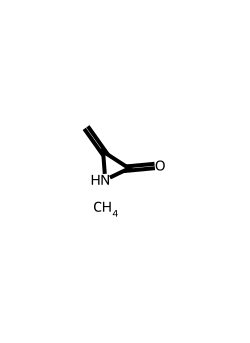 C.C=C1NC1=O